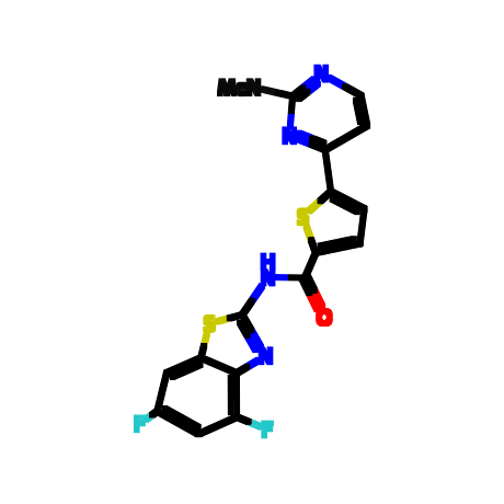 CNc1nccc(-c2ccc(C(=O)Nc3nc4c(F)cc(F)cc4s3)s2)n1